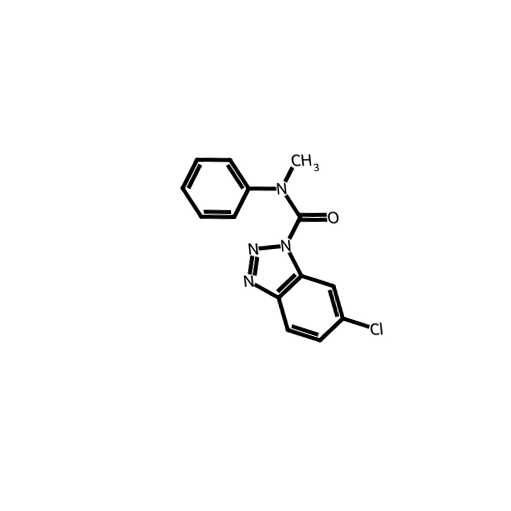 CN(C(=O)n1nnc2ccc(Cl)cc21)c1ccccc1